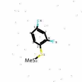 CSSc1ccc(F)cc1F